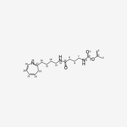 C=C(C)OC(=O)NCCCC(=O)NCCCCC1=NC=CC=CC1